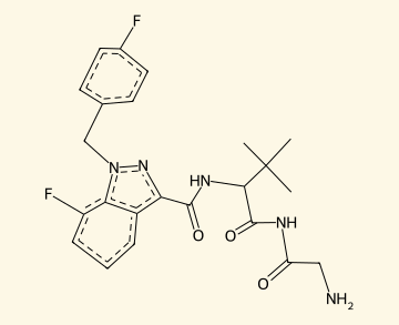 CC(C)(C)C(NC(=O)c1nn(Cc2ccc(F)cc2)c2c(F)cccc12)C(=O)NC(=O)CN